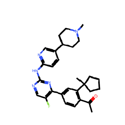 CC(=O)c1ccc(-c2nc(Nc3ccc(C4CCN(C)CC4)cn3)ncc2F)cc1C1(C)CCCC1